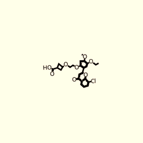 CCOc1cc(-c2cc(=O)c3cccc(Cl)c3o2)c(OCCOC2CC(C(=O)O)C2)cc1OC